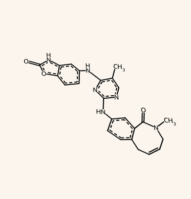 Cc1cnc(Nc2ccc3c(c2)C(=O)N(C)CC=CC3)nc1Nc1ccc2oc(=O)[nH]c2c1